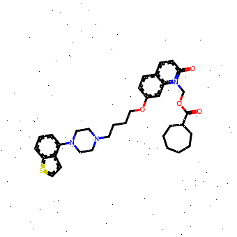 O=C(OCn1c(=O)ccc2ccc(OCCCCN3CCN(c4cccc5sccc45)CC3)cc21)C1CCCCCC1